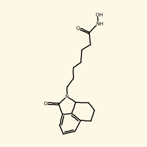 O=C(CCCCCCN1C(=O)c2cccc3c2C1CCC3)NO